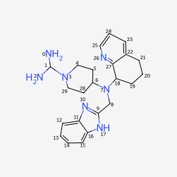 NC(N)N1CCC(N(Cc2nc3ccccc3[nH]2)C2CCCc3cccnc32)CC1